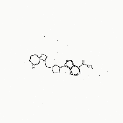 CNc1ncnc2c1ccn2C1CCC(CN2CCC23CCCNC3)C1